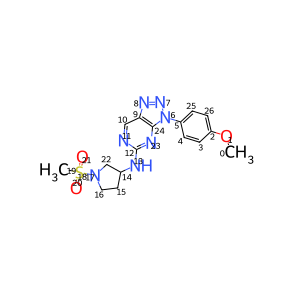 COc1ccc(-n2nnc3cnc(NC4CCN(S(C)(=O)=O)C4)nc32)cc1